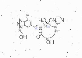 C/C(=C\c1cc(F)c2nnn([C@@H](C)CO)c2c1)[C@H]1OC(=O)C[C@@H](O)CC[C@@H](C)[C@@H](C2CN(C)CCN2C(=O)O)/C=C/[C@@H]1C